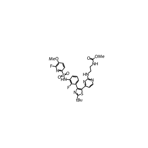 COC(=O)NCCNc1nccc(-c2sc(C(C)(C)C)nc2-c2cccc(NS(=O)(=O)c3ccc(OC)c(F)n3)c2F)n1